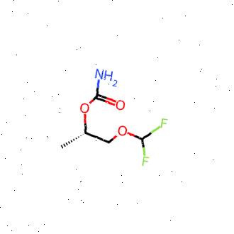 C[C@@H](COC(F)F)OC(N)=O